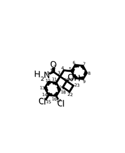 NC(=O)C(Cc1ccccc1)(c1ccc(Cl)c(Cl)c1)C1(O)CCC1